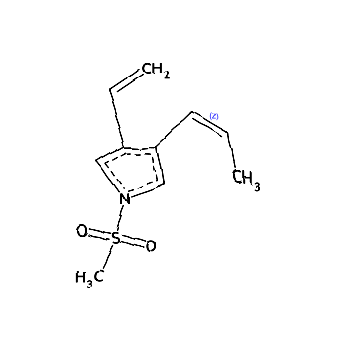 C=Cc1cn(S(C)(=O)=O)cc1/C=C\C